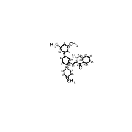 Cc1cc(C)cc(-c2ccc(N3CCN(C)CC3)c(C=CC(=O)c3ccccc3N)c2)c1